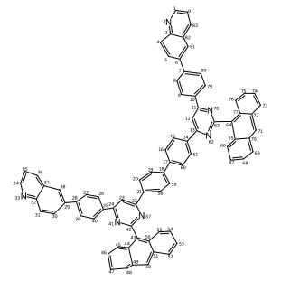 c1cnc2ccc(-c3ccc(-c4cc(-c5ccc(-c6ccc(-c7cc(-c8ccc(-c9ccc%10ncccc%10c9)cc8)nc(-c8c9ccccc9cc9ccccc89)n7)cc6)cc5)nc(-c5c6ccccc6cc6ccccc56)n4)cc3)cc2c1